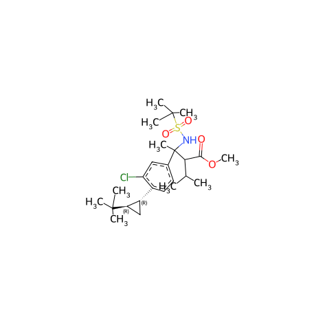 COC(=O)C(C(C)C)C(C)(NS(=O)(=O)C(C)(C)C)c1ccc([C@@H]2C[C@H]2C(C)(C)C)c(Cl)c1